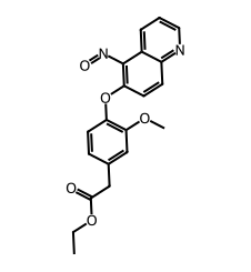 CCOC(=O)Cc1ccc(Oc2ccc3ncccc3c2N=O)c(OC)c1